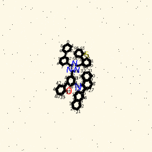 c1ccc(-c2cccc(-c3nc(-c4cc(-n5c6cc7ccccc7cc6c6ccc7ccccc7c65)c5oc6ccccc6c5c4)nc(-c4cccc5sc6ccccc6c45)n3)c2)cc1